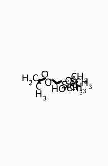 C=C(C)C(=O)OCCC[Si](C)(O)O[Si](C)(C)C